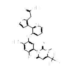 Cn1c(C(F)(F)F)cc(=O)n(-c2cc(Oc3cccnc3-c3ccsc3CC(=O)O)c(N)cc2F)c1=O